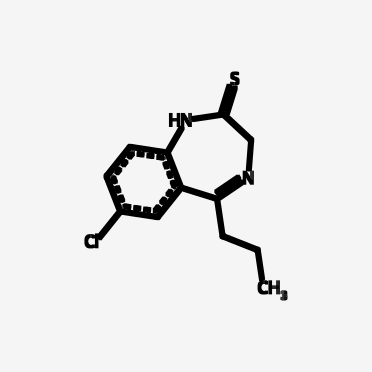 CCCC1=NCC(=S)Nc2ccc(Cl)cc21